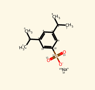 CC(C)c1cc(C(C)C)cc(S(=O)(=O)[O-])c1.[Na+]